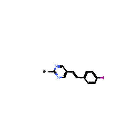 CC(C)c1ncc(/C=C/c2ccc(I)cc2)cn1